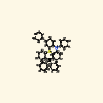 c1ccc(-c2ccc(N(c3ccccc3)c3cccc4c3Sc3ccccc3[Si]4(c3ccccc3)c3ccccc3)cc2)cc1